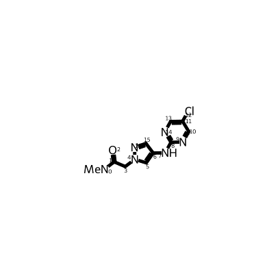 CNC(=O)Cn1cc(Nc2n[c]c(Cl)cn2)cn1